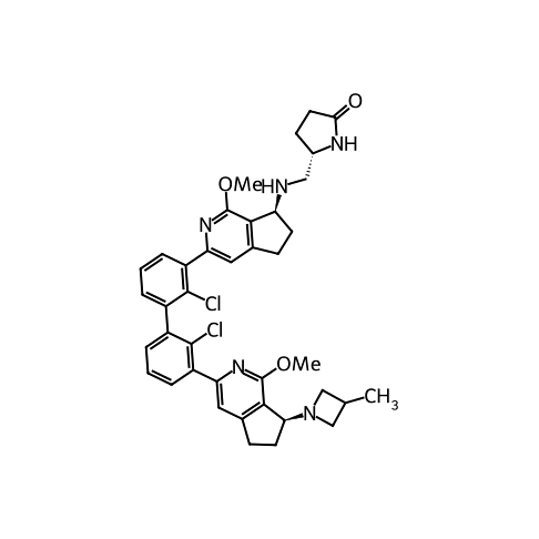 COc1nc(-c2cccc(-c3cccc(-c4cc5c(c(OC)n4)[C@@H](N4CC(C)C4)CC5)c3Cl)c2Cl)cc2c1[C@@H](NC[C@@H]1CCC(=O)N1)CC2